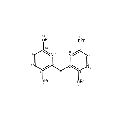 CCCc1cnc(CCC)c(Cc2nc(CCC)cnc2CCC)n1